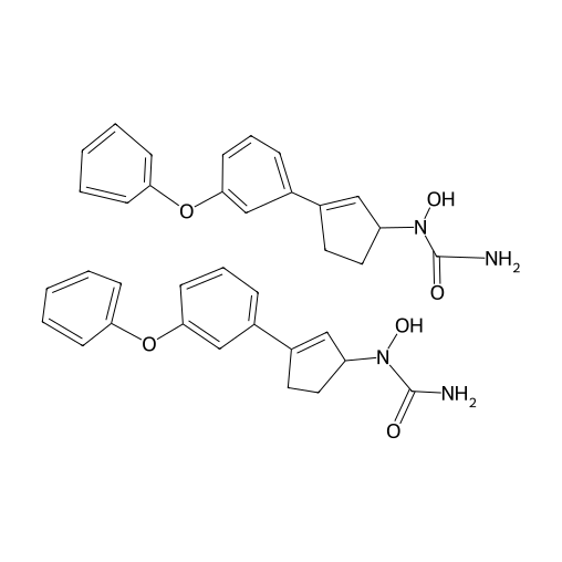 NC(=O)N(O)C1C=C(c2cccc(Oc3ccccc3)c2)CC1.NC(=O)N(O)C1C=C(c2cccc(Oc3ccccc3)c2)CC1